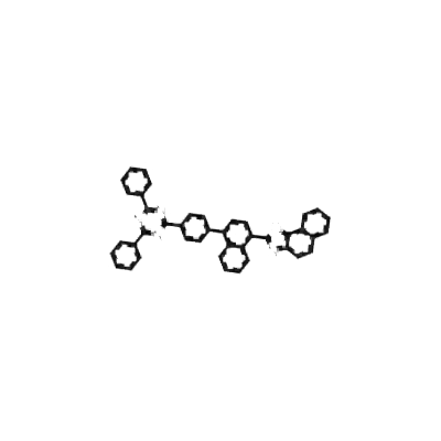 c1ccc(-c2nc(-c3ccccc3)nc(-c3ccc(-c4ccc(-c5nc6ccc7ccccc7c6o5)c5ccccc45)cc3)n2)cc1